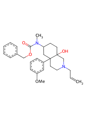 C=CCN1CCC2(c3cccc(OC)c3)CC(N(C)C(=O)OCc3ccccc3)CCC2(O)C1